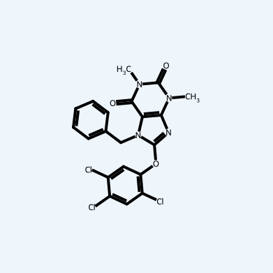 Cn1c(=O)c2c(nc(Oc3cc(Cl)c(Cl)cc3Cl)n2Cc2ccccc2)n(C)c1=O